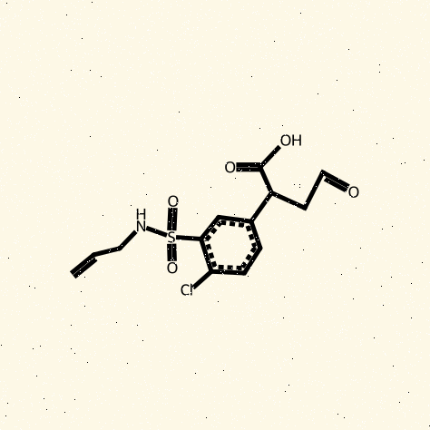 C=CCNS(=O)(=O)c1cc(C(CC=O)C(=O)O)ccc1Cl